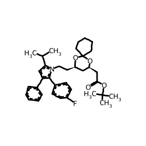 CC(C)c1cc(-c2ccccc2)c(-c2ccc(F)cc2)n1CC[C@@H]1C[C@H](CC(=O)OC(C)(C)C)OC2(CCCCC2)O1